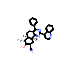 C[C@H]1C(O)=C(C#N)C[C@@]2(C)c3nc(-c4ccnc5ccccc45)nc(-c4ccccc4)c3CC[C@H]12